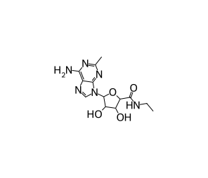 CCNC(=O)C1OC(n2cnc3c(N)nc(C)nc32)C(O)C1O